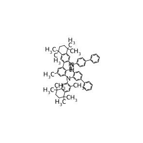 Cc1cc(-c2cc3c(cc2Nc2ccc(-c4ccccc4)cc2)C(C)(C)CCC3(C)C)c2c(c1)N(c1cc3c(cc1C)C(C)(C)CCC3(C)C)c1cc(-c3ccccc3)ccc1B2